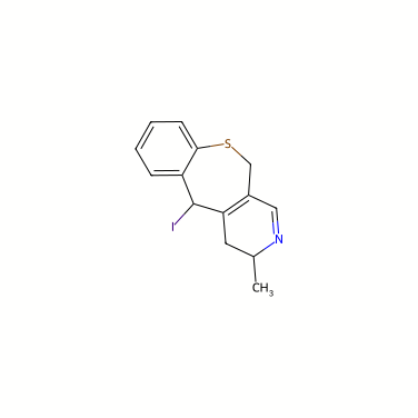 CC1CC2=C(C=N1)CSc1ccccc1C2I